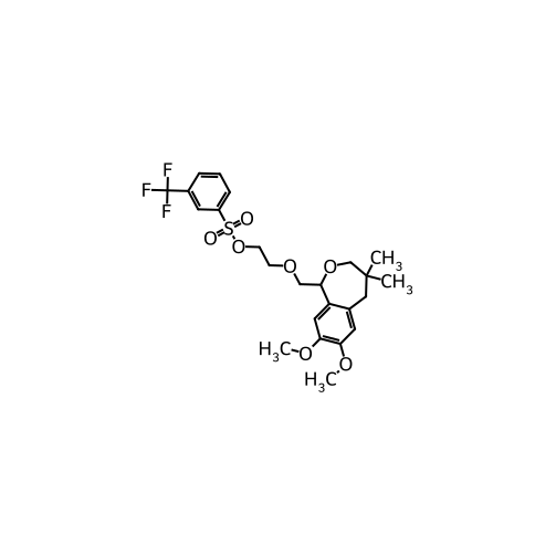 COc1cc2c(cc1OC)C(COCCOS(=O)(=O)c1cccc(C(F)(F)F)c1)OCC(C)(C)C2